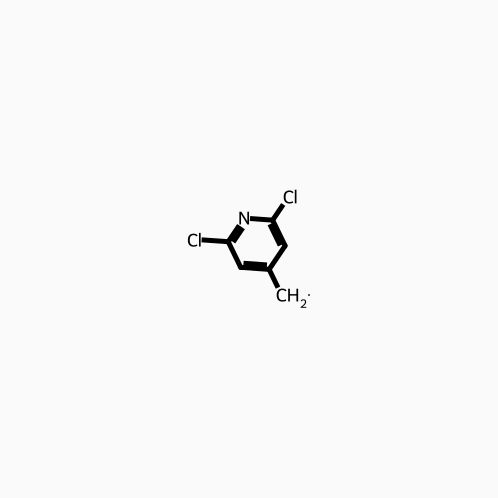 [CH2]c1cc(Cl)nc(Cl)c1